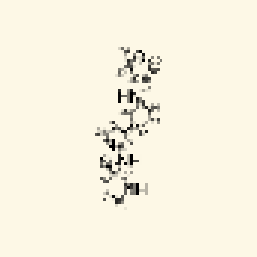 C[C@@H]1CC[C@@H](C(=O)Nc2cc(-c3cccc(NC[C@H]4CCOC(C)(C)C4)c3)ccn2)CN1